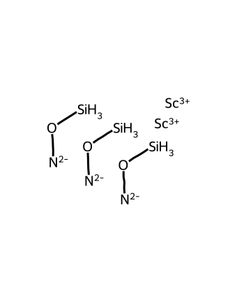 [N-2]O[SiH3].[N-2]O[SiH3].[N-2]O[SiH3].[Sc+3].[Sc+3]